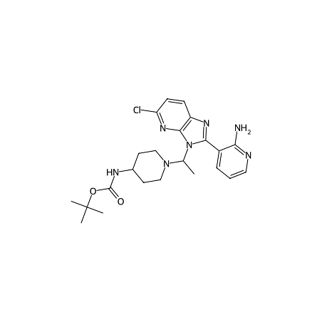 CC(N1CCC(NC(=O)OC(C)(C)C)CC1)n1c(-c2cccnc2N)nc2ccc(Cl)nc21